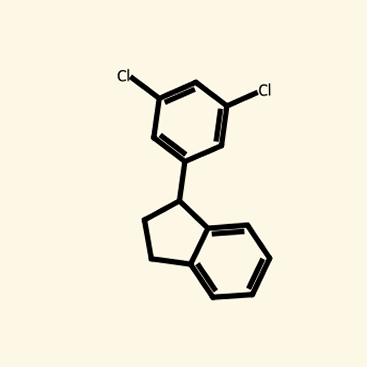 Clc1cc(Cl)cc(C2CCc3ccccc32)c1